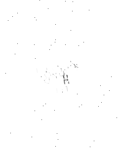 Cl.N#Cc1c(OCC23CCCN2C[C@H](F)C3)nc(N2CC3CCC(C2)N3)c2c1CN(c1cc(O)cc3ccccc13)CC2